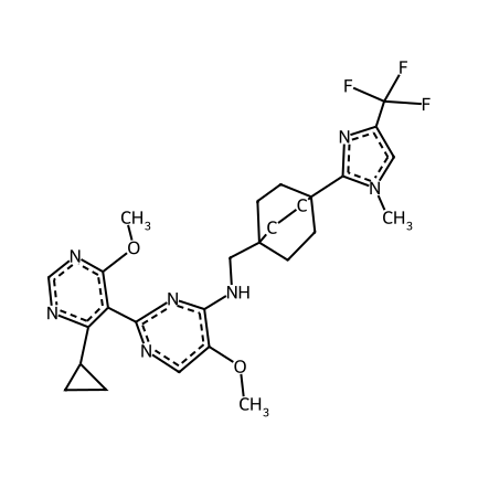 COc1cnc(-c2c(OC)ncnc2C2CC2)nc1NCC12CCC(c3nc(C(F)(F)F)cn3C)(CC1)CC2